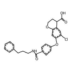 O=C(NCCCc1ccccc1)c1ccc(Oc2cc3c(cc2Cl)C(C(=O)O)CCO3)cc1